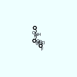 O=C(Cc1ccccc1)NN=Cc1ccccc1OS(=O)(=O)c1ccc(F)cc1Cl